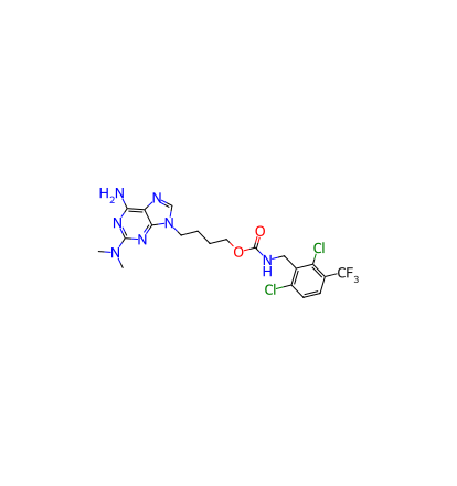 CN(C)c1nc(N)c2ncn(CCCCOC(=O)NCc3c(Cl)ccc(C(F)(F)F)c3Cl)c2n1